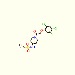 C=CS(=O)(=O)NC1CCN(C(=O)COc2cc(Cl)c(Cl)cc2Cl)CC1